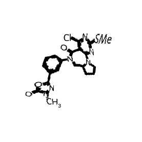 CSc1nc(Cl)c2c(n1)N1CCCC1CN(c1cccc(-c3nn(C)c(=O)o3)c1)C2=O